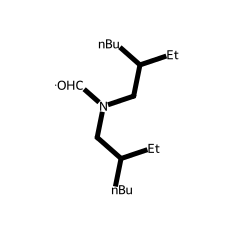 CCCCC(CC)CN([C]=O)CC(CC)CCCC